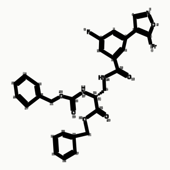 CC(C)c1oncc1-c1cc(F)cc(C(=O)NC[C@@H](NC(=O)OCc2ccccc2)C(=O)OCc2ccccc2)c1